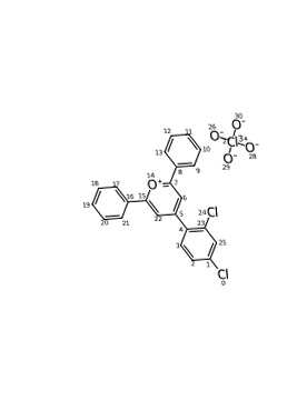 Clc1ccc(-c2cc(-c3ccccc3)[o+]c(-c3ccccc3)c2)c(Cl)c1.[O-][Cl+3]([O-])([O-])[O-]